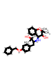 CC(C)(O)C(Cc1ccc(OCc2ccccc2)cc1)NC1c2ccccc2OC(C)(C)C1O